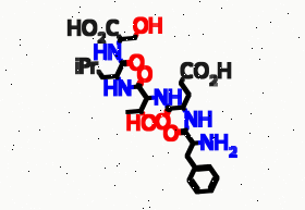 CC(C)CC(NC(=O)C(NC(=O)C(CCC(=O)O)NC(=O)C(N)Cc1ccccc1)C(C)O)C(=O)NC(CO)C(=O)O